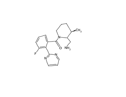 C[C@@H]1CCCN(C(=O)c2cccc(F)c2-c2ncccn2)C1CN